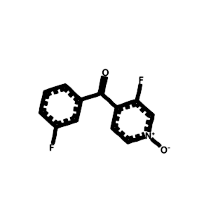 O=C(c1cccc(F)c1)c1cc[n+]([O-])cc1F